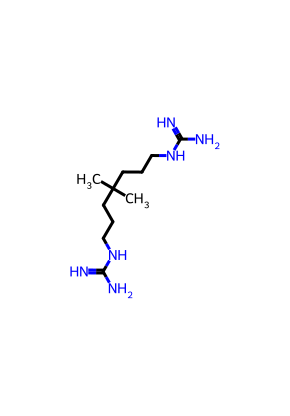 CC(C)(CCCNC(=N)N)CCCNC(=N)N